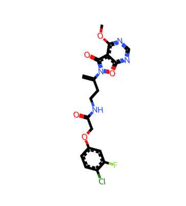 C=C(CCNC(=O)COc1ccc(Cl)c(F)c1)n1oc2ncnc(OC)c2c1=O